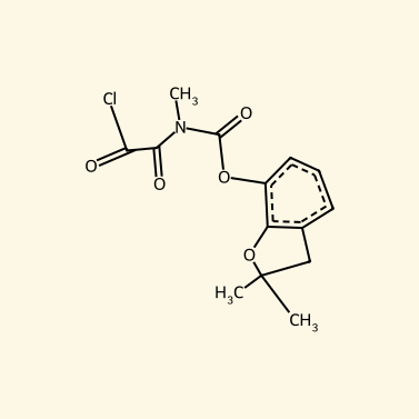 CN(C(=O)Oc1cccc2c1OC(C)(C)C2)C(=O)C(=O)Cl